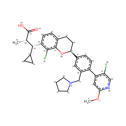 COc1cc(-c2ccc([C@@H]3CCc4ccc([C@H](C5CC5)[C@H](C)C(=O)O)c(F)c4O3)cc2CN2CCCC2)c(F)cn1